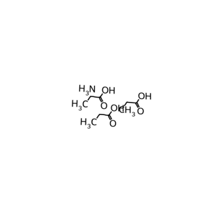 CCC(=O)O.CCC(=O)O.CCC(=O)O.N